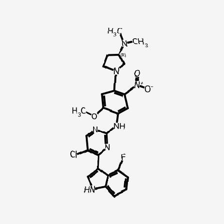 COc1cc(N2CC[C@@H](N(C)C)C2)c([N+](=O)[O-])cc1Nc1ncc(Cl)c(-c2c[nH]c3cccc(F)c23)n1